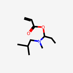 C=CC(=O)OC(CC)N(C)CC(C)C